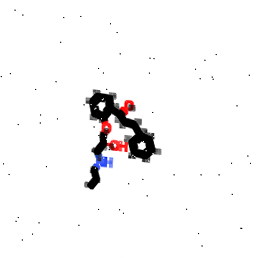 CCCNC[C@@H](O)COc1ccccc1C(=O)/C=C/c1ccccc1